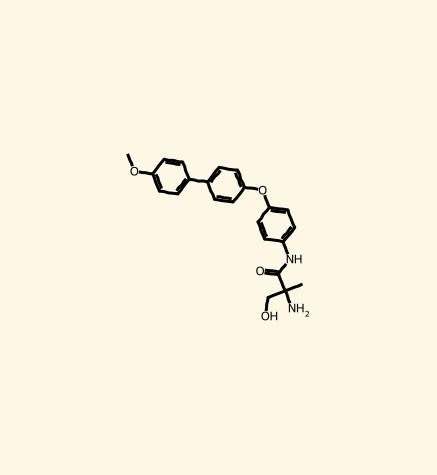 COc1ccc(-c2ccc(Oc3ccc(NC(=O)C(C)(N)CO)cc3)cc2)cc1